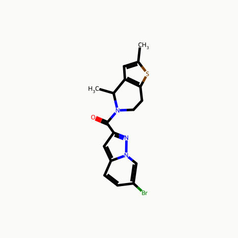 Cc1cc2c(s1)CCN(C(=O)c1cc3ccc(Br)cn3n1)C2C